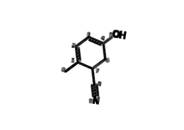 CC1=CC=C(O)CC1C#N